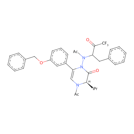 CC(=O)N1C=C(c2cccc(OCc3ccccc3)c2)N(N(C(C)=O)C(Cc2ccccc2)C(=O)C(F)(F)F)C(=O)[C@H]1C(C)C